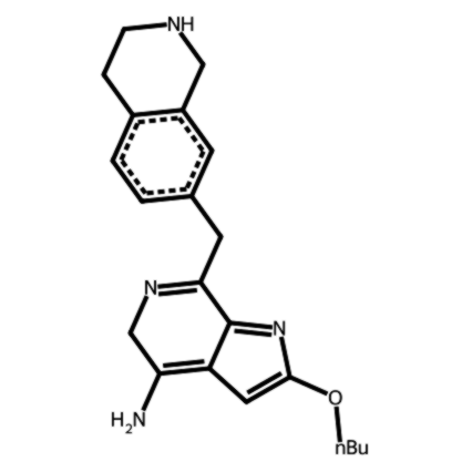 CCCCOC1=CC2=C(N)CN=C(Cc3ccc4c(c3)CNCC4)C2=N1